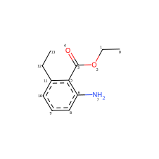 CCOC(=O)c1c(N)cccc1CC